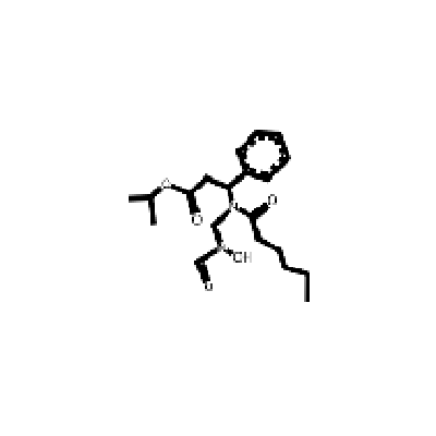 CCCCCC(=O)N(CN(O)C=O)C(CC(=O)OC(C)C)c1ccccc1